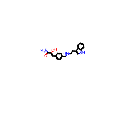 NC(=O)C(O)=Cc1ccc(CNCCc2c[nH]c3ccccc23)cc1